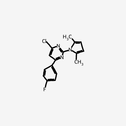 Cc1ccc(C)n1-c1nc(Cl)cc(-c2ccc(F)cc2)n1